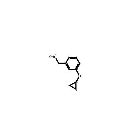 O=CCc1cccc(OC2CC2)c1